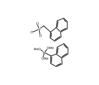 CO[Si](OC)(OC)c1cccc2ccccc12.Cl[Si](Cl)(Cl)Cc1cccc2ccccc12